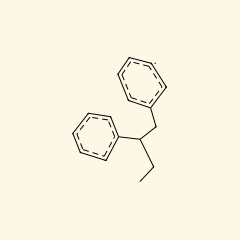 CCC(Cc1c[c]ccc1)c1ccccc1